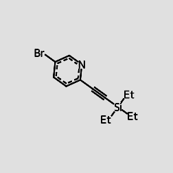 CC[Si](C#Cc1ccc(Br)cn1)(CC)CC